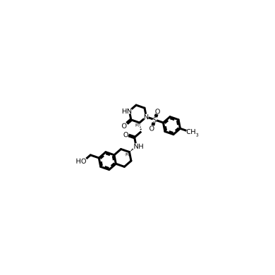 Cc1ccc(S(=O)(=O)N2CCNC(=O)[C@H]2CC(=O)N[C@@H]2CCc3ccc(CO)cc3C2)cc1